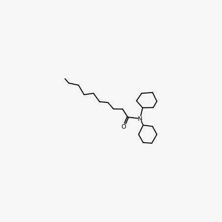 CCCCCCCCCC(=O)N(C1CCCCC1)C1CCCCC1